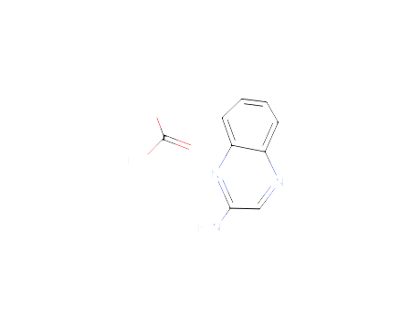 Nc1cnc2ccccc2n1.O=C(O)O